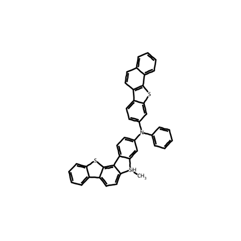 C[SiH]1c2cc(N(c3ccccc3)c3ccc4c(c3)sc3c5ccccc5ccc43)ccc2-c2c1ccc1c2sc2ccccc21